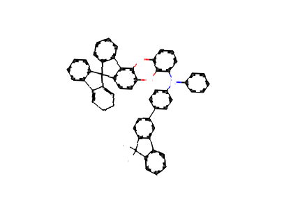 CC1(C)c2ccccc2-c2cc(-c3ccc(N(c4ccccc4)c4cccc5c4Oc4ccc6c(c4O5)-c4ccccc4C64C5=CCCC=C5c5ccccc54)cc3)ccc21